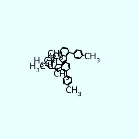 CCCC1=Cc2c(-c3ccc(C)cc3)cccc2[CH]1[Zr]([Cl])([Cl])([CH]1C(CCC)=Cc2c(-c3ccc(C)cc3)cccc21)[SiH](C)C